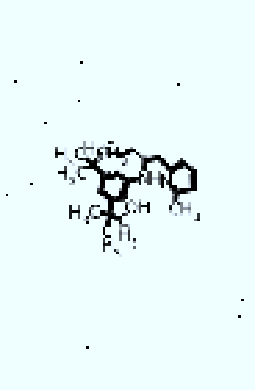 CCC[C@@H](Cc1cccc(C)n1)Nc1cc(C(C)(C)C)cc(C(C)(C)C)c1O